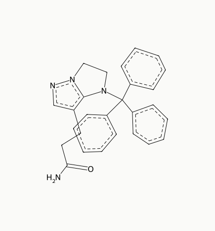 NC(=O)CCc1cnn2c1N(C(c1ccccc1)(c1ccccc1)c1ccccc1)CC2